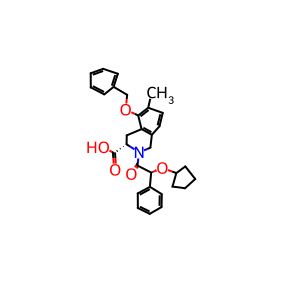 Cc1ccc2c(c1OCc1ccccc1)C[C@@H](C(=O)O)N(C(=O)[C@@H](OC1CCCC1)c1ccccc1)C2